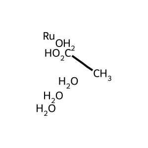 CC(=O)O.O.O.O.O.[Ru]